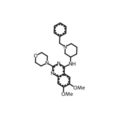 COc1cc2nc(N3CCOCC3)nc(NC3CCCN(Cc4ccccc4)C3)c2cc1OC